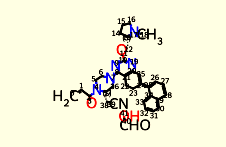 C=CC(=O)N1CCN(c2nc(OC[C@@H]3CCCN3C)nc3c2CCC(c2cccc4ccccc24)=C3)C[C@@H]1CC#N.O=CO